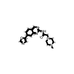 CN1CCN(CC(=O)Nc2ncc3ccc(-c4cnco4)cc3n2)CC1